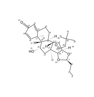 CCC[C@@H]1O[C@@H]2C[C@H]3[C@@H]4CCC5=CC(=O)C=C[C@]5(C)[C@H]4[C@@H](O)C[C@]3(C)[C@]2(C(=O)CC(C)(C)C)O1